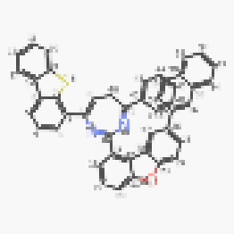 C1=C(c2cccc3c2sc2ccccc23)N=C(c2cccc3oc4ccc(-c5ccc6ccccc6c5)cc4c23)N=C(c2ccccc2)C1